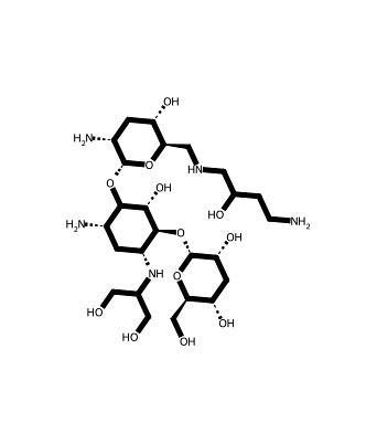 NCCC(O)CNC[C@H]1O[C@H](OC2[C@@H](N)C[C@@H](NC(CO)CO)[C@H](O[C@H]3O[C@H](CO)[C@@H](O)C[C@H]3O)[C@H]2O)[C@H](N)C[C@@H]1O